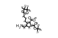 COC(=O)[C@@H]1C(CCCB2OC(C)(C)C(C)(C)O2)C(CN)CN1C(=O)OC(C)(C)C